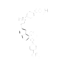 O=C(O)C1CCC(NCCc2ccc3ccc(OC4CCC(C(F)(F)F)CC4)c(C(F)(F)F)c3c2)CC1